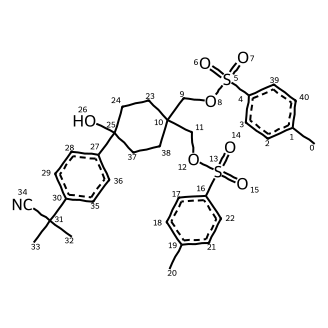 Cc1ccc(S(=O)(=O)OCC2(COS(=O)(=O)c3ccc(C)cc3)CCC(O)(c3ccc(C(C)(C)C#N)cc3)CC2)cc1